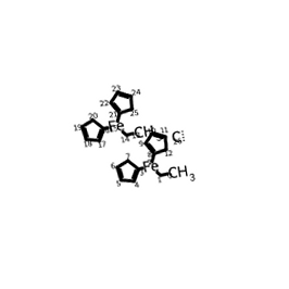 C[CH2][Fe]([C]1=CC=CC1)[C]1=CC=CC1.C[CH2][Fe]([C]1=CC=CC1)[C]1=CC=CC1.[C]